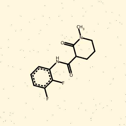 CN1CCCC(C(=O)Nc2cccc(F)c2F)C1=O